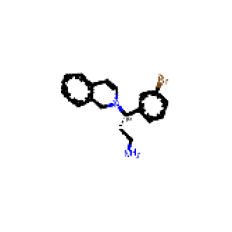 NCC[C@@H](c1cccc(Br)c1)N1C=Cc2ccccc2C1